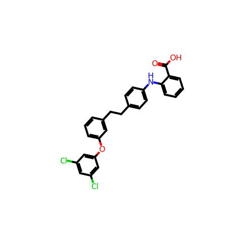 O=C(O)c1ccccc1Nc1ccc(CCc2cccc(Oc3cc(Cl)cc(Cl)c3)c2)cc1